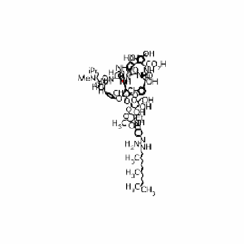 CCC1(NCc2ccc(/N=C(\N)NC/C=C(\C)CC/C=C(\C)CCC=C(C)C)cc2)C[C@H](OC2C(O)[C@H](O)C(CO)O[C@H]2Oc2c3cc4cc2Oc2ccc(cc2Cl)[C@@H](O)[C@@H]2NC(=O)[C@H](NC(=O)[C@@H]4NC(=O)C(CC(N)=O)NC(=O)[C@H](NC(=O)[C@@H](CC(C)C)NC)[C@H](O)c4ccc(c(C)c4)O3)c3ccc(O)c(c3)-c3c(O)cc(O)cc3[C@@H](C(=O)O)NC2=O)OC(C)[C@H]1O